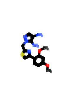 COc1ccc(-c2csc(Cn3ncc(N)c3N)n2)c(OC)c1